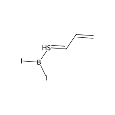 C=CC=[SH]B(I)I